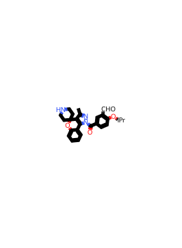 Cc1nn(C(=O)c2ccc(OC(C)C)c(C=O)c2)c2c1C1(CCNCC1)Oc1ccccc1-2